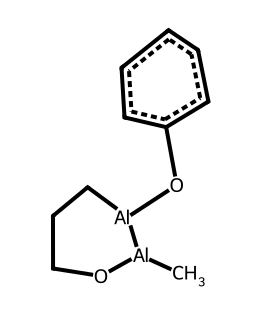 [CH3][Al]1[O]CC[CH2][Al]1[O]c1ccccc1